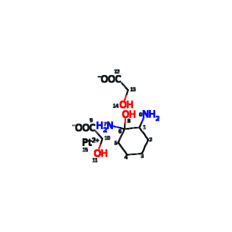 NC1CCCCC1(N)O.O=C([O-])CO.O=C([O-])CO.[Pt+2]